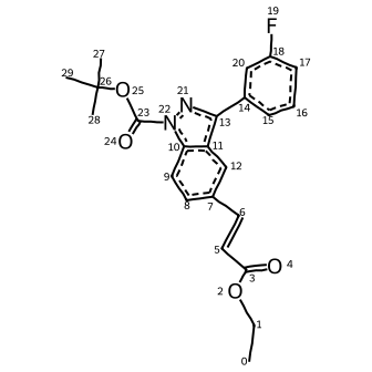 CCOC(=O)C=Cc1ccc2c(c1)c(-c1cccc(F)c1)nn2C(=O)OC(C)(C)C